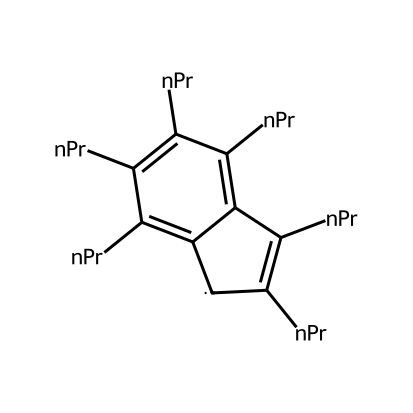 CCCC1=C(CCC)c2c(c(CCC)c(CCC)c(CCC)c2CCC)[CH]1